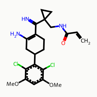 C=CC(=O)NCC1(C(=N)C2=C(N)CC(c3c(Cl)c(OC)cc(OC)c3Cl)CC2)CC1